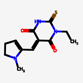 CCN1C(=O)/C(=C/C2=CCCN2C)C(=O)NC1=S